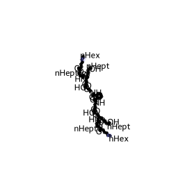 CCCCCC/C=C/CCCC(=O)O[C@H](CCCCCCC)CC(=O)NC(COCC[C@H](O)CCCCCCC)COP(=O)(O)OCCNC(=O)c1ccccc1C(=O)NCCOP(=O)(O)OCC(COCC[C@H](O)CCCCCCC)NC(=O)C[C@@H](CCCCCCC)OC(=O)CCC/C=C/CCCCCC